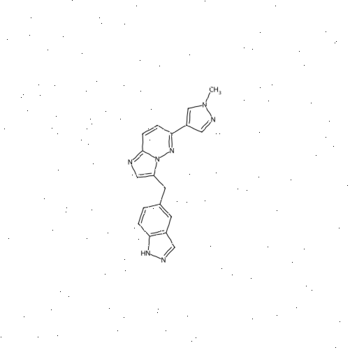 Cn1cc(-c2ccc3ncc(Cc4ccc5[nH]ncc5c4)n3n2)cn1